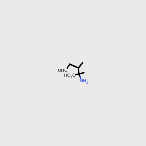 CC(CC=O)C(C)(N)C(=O)O